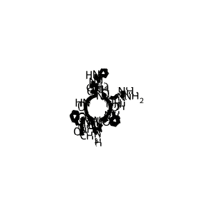 CC(=O)N[C@@H](Cc1ccccc1)C(=O)N[C@H]1CCC(=O)NCCC(C(=O)N[C@@H](Cc2c[nH]c3ccccc23)C(N)=O)NC(=O)[C@H](CCCNC(=N)N)NC(=O)[C@@H](Cc2ccccc2)NC(=O)[C@H](Cc2c[nH]cn2)NC1=O